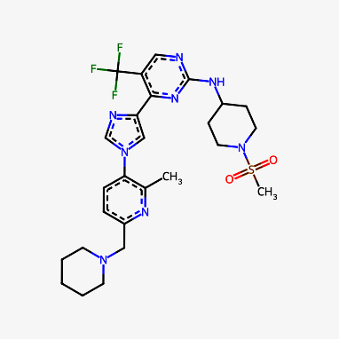 Cc1nc(CN2CCCCC2)ccc1-n1cnc(-c2nc(NC3CCN(S(C)(=O)=O)CC3)ncc2C(F)(F)F)c1